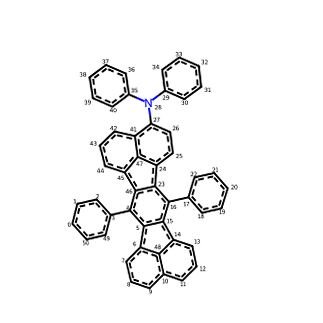 c1ccc(-c2c3c4cccc5cccc(c3c(-c3ccccc3)c3c6ccc(N(c7ccccc7)c7ccccc7)c7cccc(c23)c76)c54)cc1